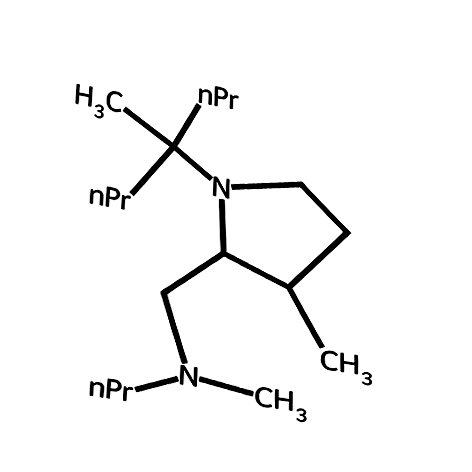 CCCN(C)CC1C(C)CCN1C(C)(CCC)CCC